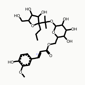 CCCC1(C(C)(C)OC2OC(COC(=O)/C=C/c3ccc(O)c(OC)c3)C(O)C(O)C2O)OC(CO)C(O)C1O